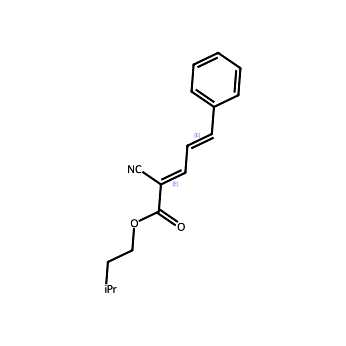 CC(C)CCOC(=O)/C(C#N)=C/C=C/c1ccccc1